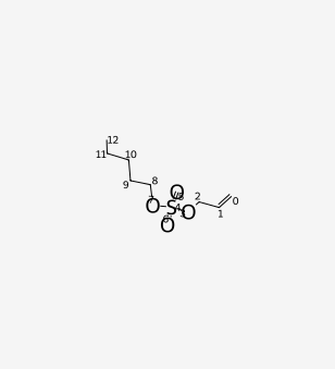 C=CCOS(=O)(=O)OCCCCC